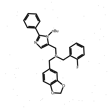 CCCCn1c(CN(Cc2ccc3c(c2)OCO3)Cc2ccccc2F)cnc1-c1ccccc1